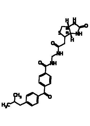 CC(C)Cc1ccc(C(=O)c2ccc(C(=O)NCNC(=O)CC3SC[C@@H]4NC(=O)N[C@H]34)cc2)cc1